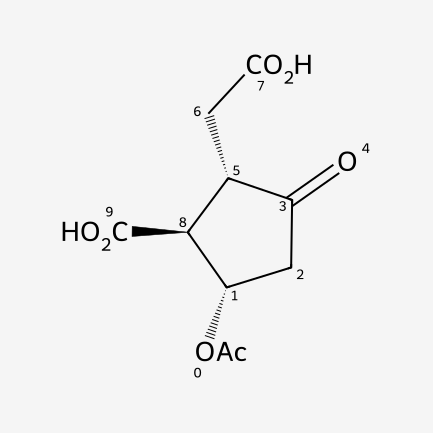 CC(=O)O[C@H]1CC(=O)[C@@H](CC(=O)O)[C@@H]1C(=O)O